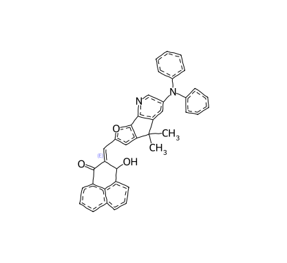 CC1(C)c2cc(N(c3ccccc3)c3ccccc3)cnc2-c2oc(/C=C3/C(=O)c4cccc5cccc(c45)C3O)cc21